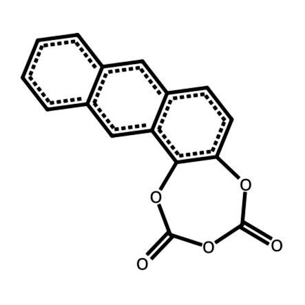 O=C1OC(=O)Oc2c(ccc3cc4ccccc4cc23)O1